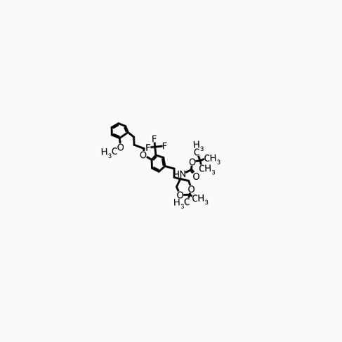 COc1ccccc1CCCOc1ccc(CCC2(NC(=O)OC(C)(C)C)COC(C)(C)OC2)cc1C(F)(F)F